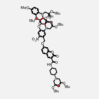 COc1ccc(N(CC(=O)OC(C)(C)C)CC(=O)OC(C)(C)C)c(O[C@H]2CCC[C@H]2Oc2cc([N+](=O)[O-])c(COc3ccc4cc(C(=O)N[C@H]5CC[C@H](N(CC(=O)OC(C)(C)C)CC(=O)OC(C)(C)C)CC5)c(=O)oc4c3)cc2N(CC(=O)OC(C)(C)C)CC(=O)OC(C)(C)C)c1